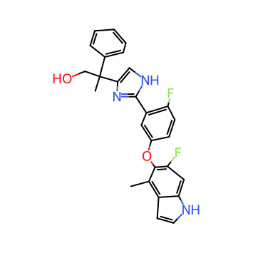 Cc1c(Oc2ccc(F)c(-c3nc(C(C)(CO)c4ccccc4)c[nH]3)c2)c(F)cc2[nH]ccc12